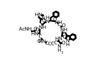 CC(=O)NCC(=O)NC1CC(=O)NCCCCC(C(N)=O)NC(=O)[C@H](Cc2c[nH]c3ccccc23)NC(=O)CNC(=O)C(Cc2ccccc2)NC(=O)[C@H](Cc2c[nH]cn2)NC1=O